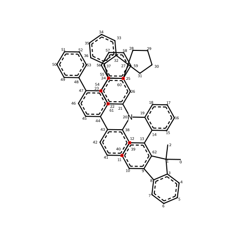 CC1(C)c2ccccc2-c2cccc(-c3ccccc3N(c3ccc4c(c3)C3(CCCC3)c3ccccc3-4)c3ccccc3-c3ccc(-c4ccccc4)c(-c4ccccc4)c3)c21